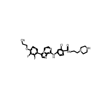 N#CCCOc1ccc(-c2cnc3c(Nc4ccc(C(=O)NCCN5CCNCC5)c(Cl)c4)nccn23)c(F)c1F